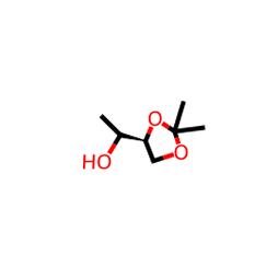 CC(O)[C@@H]1COC(C)(C)O1